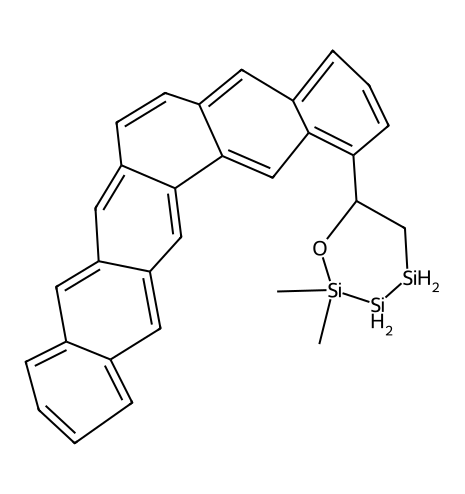 C[Si]1(C)OC(c2cccc3cc4ccc5cc6cc7ccccc7cc6cc5c4cc23)C[SiH2][SiH2]1